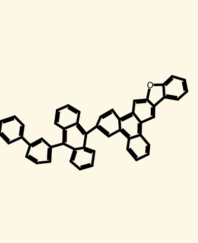 c1ccc(-c2cccc(-c3c4ccccc4c(-c4ccc5c(c4)c4ccccc4c4cc6c(cc54)oc4ccccc46)c4ccccc34)c2)cc1